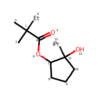 CCC(C)(C)C(=O)OC1CCCC1(O)C(C)C